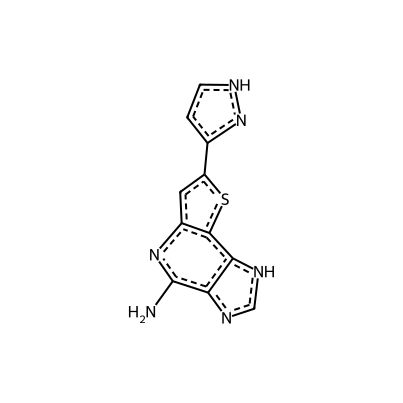 Nc1nc2cc(-c3cc[nH]n3)sc2c2[nH]cnc12